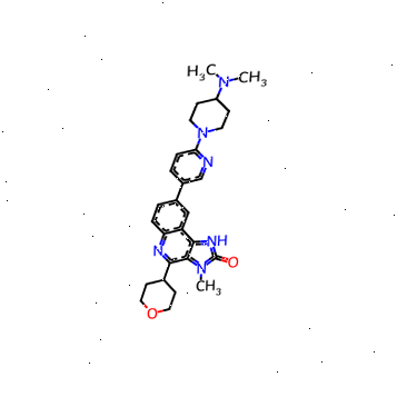 CN(C)C1CCN(c2ccc(-c3ccc4nc(C5CCOCC5)c5c([nH]c(=O)n5C)c4c3)cn2)CC1